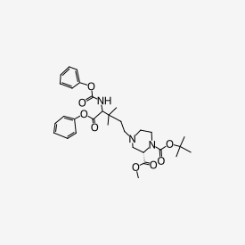 COC(=O)[C@@H]1CN(CCC(C)(C)C(NC(=O)Oc2ccccc2)C(=O)Oc2ccccc2)CCN1C(=O)OC(C)(C)C